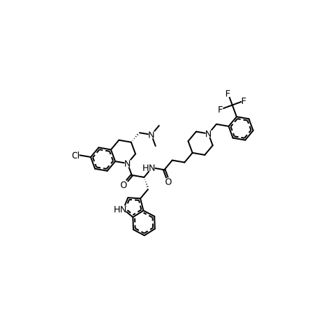 CN(C)C[C@H]1Cc2cc(Cl)ccc2N(C(=O)[C@@H](Cc2c[nH]c3ccccc23)NC(=O)CCC2CCN(Cc3ccccc3C(F)(F)F)CC2)C1